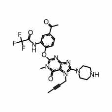 CC#CCn1c(N2CCNCC2)nc2nc(Oc3ccc(C(C)=O)cc3NC(=O)C(F)(F)F)n(C)c(=O)c21